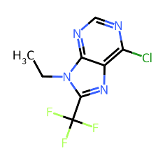 CCn1c(C(F)(F)F)nc2c(Cl)ncnc21